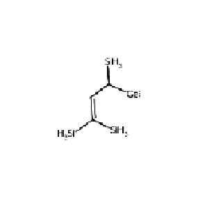 [SiH3]C([SiH3])=C[CH]([SiH3])[Ge]